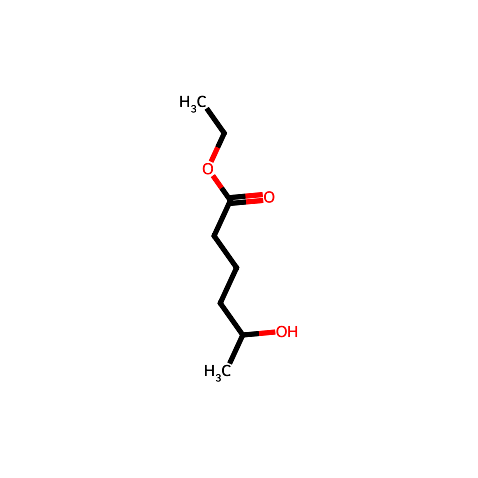 CCOC(=O)CCCC(C)O